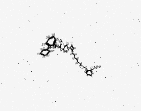 COc1ccccc1COCCCCCC[C@H]1C=C[C@H]1N1CCC(OC(=O)Nc2ccccc2-c2ccccc2)CC1